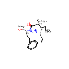 C=CC[C@@H](CC(C)C)[C@H](C(=O)O)C(=O)N[C@@H](Cc1ccccc1)C(=O)NC